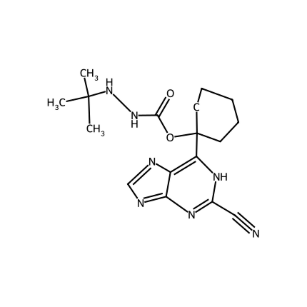 CC(C)(C)NNC(=O)OC1(c2[nH]c(C#N)nc3ncnc2-3)CCCCC1